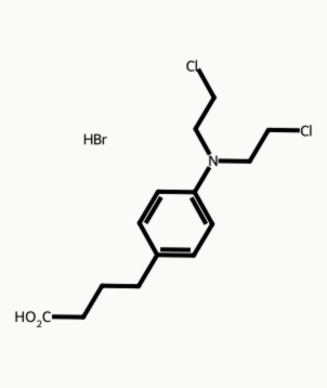 Br.O=C(O)CCCc1ccc(N(CCCl)CCCl)cc1